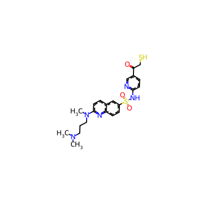 CN(C)CCCN(C)c1ccc2cc(S(=O)(=O)Nc3ccc(C(=O)CS)cn3)ccc2n1